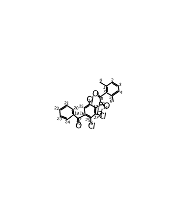 Cc1cccc(C)c1C(=O)[PH](=O)c1c(Cl)cc(C(=O)c2ccccc2)c(Cl)c1Cl